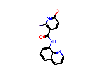 O=C(Nc1cccc2cccnc12)c1ccc(O)nc1I